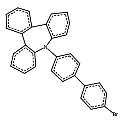 Brc1ccc(-c2ccc(N3c4ccccc4-c4ccccc4-c4ccccc43)cc2)cc1